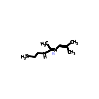 CC(C)=C/N=C(\C)NCCN